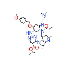 C=CC(=O)Nc1cc(Nc2ncc(C(=O)OC(C)C)c(N3CC(C)(C)c4nc(C)ccc43)n2)c(OCc2ccc(OC)cc2)cc1N(C)CCN(C)C